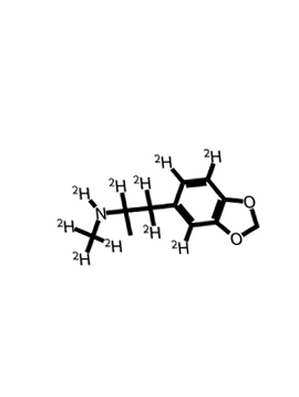 [2H]c1c([2H])c(C([2H])([2H])C([2H])(C)N([2H])C([2H])([2H])[2H])c([2H])c2c1OCO2